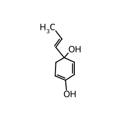 CC=CC1(O)C=CC(O)=CC1